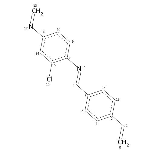 C=Cc1ccc(C=Nc2ccc(N=C)cc2Cl)cc1